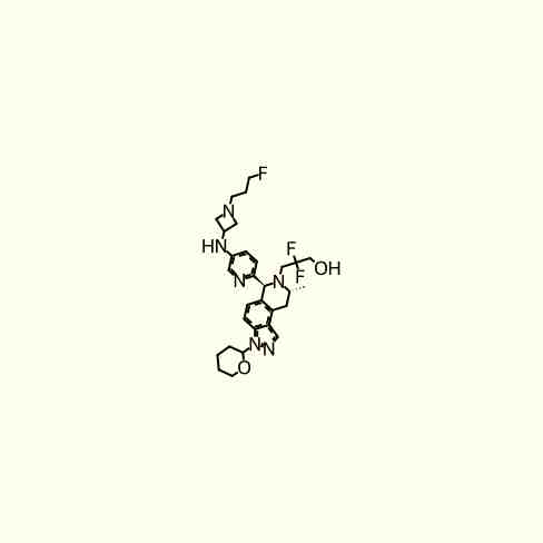 C[C@@H]1Cc2c(ccc3c2cnn3C2CCCCO2)[C@@H](c2ccc(NC3CN(CCCF)C3)cn2)N1CC(F)(F)CO